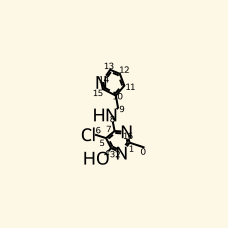 Cc1nc(O)c(Cl)c(NCc2cccnc2)n1